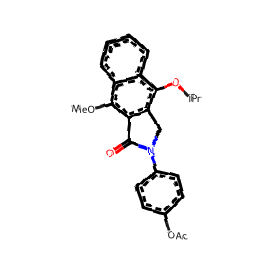 COc1c2c(c(OC(C)C)c3ccccc13)CN(c1ccc(OC(C)=O)cc1)C2=O